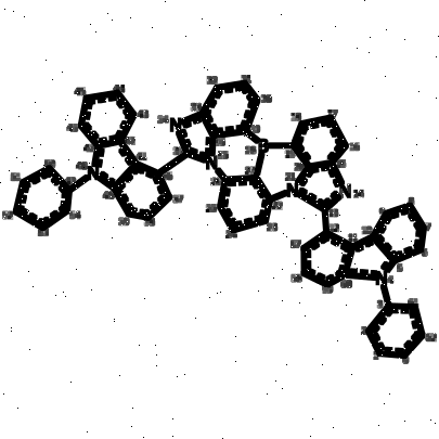 c1ccc(-n2c3ccccc3c3c(-c4nc5cccc6c5n4-c4cccc5c4B6c4cccc6nc(-c7cccc8c7c7ccccc7n8-c7ccccc7)n-5c46)cccc32)cc1